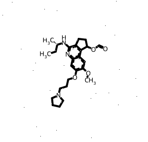 CC[C@H](C)Nc1nc2cc(OCCCN3CCCC3)c(OC)cc2c2c1CCC2OC=O